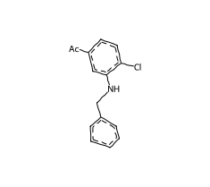 [CH2]C(=O)c1ccc(Cl)c(NCc2ccccc2)c1